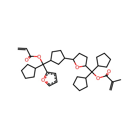 C=CC(=O)OC(c1ccco1)(C1CCCC1)C1CCC(C2CCC(C(OC(=O)C(=C)C)(C3CCCC3)C3CCCC3)O2)C1